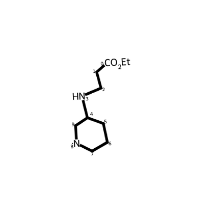 CCOC(=O)CCNC1CCC[N]C1